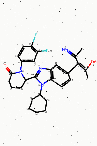 CC(=N)/C(=C(/C)O)c1ccc2c(c1)nc(C1CCCC(=O)N1c1ccc(F)c(F)c1)n2C1CCCCC1